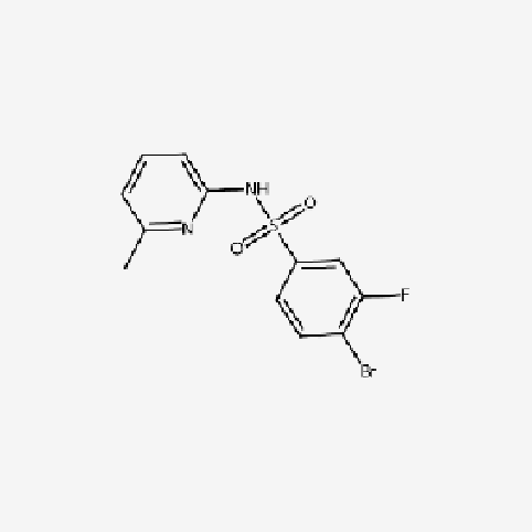 Cc1cccc(NS(=O)(=O)c2ccc(Br)c(F)c2)n1